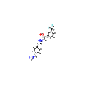 CNCc1ccc(CCNCC(O)c2cccc(C(F)(F)F)c2)cc1